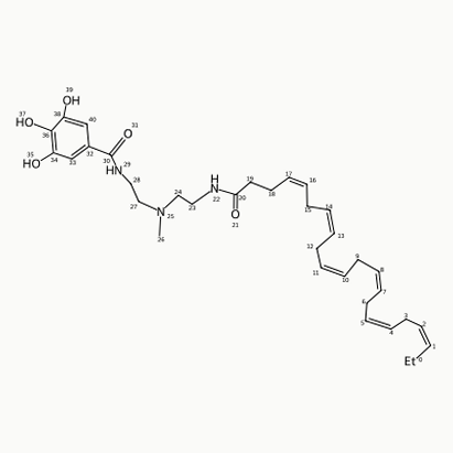 CC/C=C\C/C=C\C/C=C\C/C=C\C/C=C\C/C=C\CCC(=O)NCCN(C)CCNC(=O)c1cc(O)c(O)c(O)c1